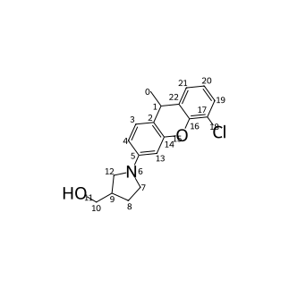 CC1c2ccc(N3CCC(CO)C3)cc2Oc2c(Cl)cccc21